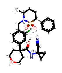 C[C@H]1CC[C@H](c2ccccc2)S(=O)(=O)N1Cc1ccc(C2(C(=O)NC3(C#N)CC3)CCOCC2)cc1F